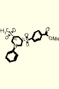 COC(=O)c1ccc(S(=O)(=O)[C@H]2C[C@@H](S(C)(=O)=O)CN(c3ccccc3)C2)cc1